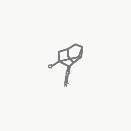 [N-]=[N+]=C1C2CC3CC(C2)CC1(Cl)C3